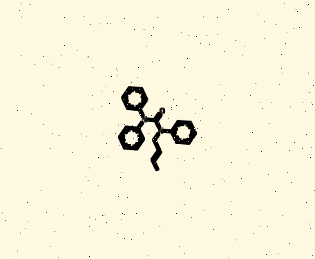 C/C=C/CN(C(=O)N(c1ccccc1)c1ccccc1)c1ccccc1